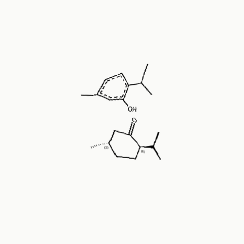 CC(C)[C@H]1CC[C@H](C)CC1=O.Cc1ccc(C(C)C)c(O)c1